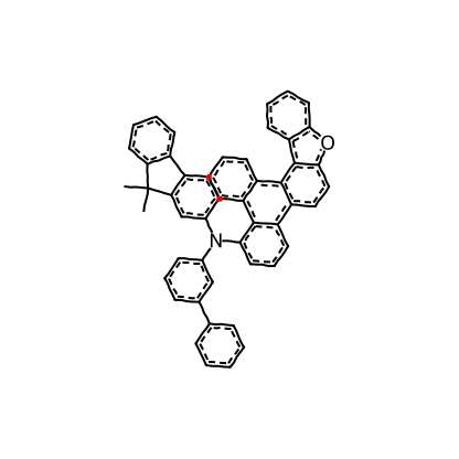 CC1(C)c2ccccc2-c2ccc(N(c3cccc(-c4ccccc4)c3)c3cccc4c5ccc6oc7ccccc7c6c5c5ccccc5c34)cc21